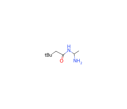 CC(N)NC(=O)CC(C)(C)C